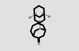 O=C1CC2CCCCC1CN2[C@H]1C[C@@H]2CCC[C@@H](C2)C1